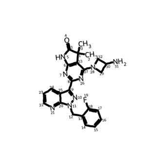 CC1(C)C(=O)Nc2nc(-c3nn(Cc4ccccc4F)c4ncccc34)nc(N3CC(N)C3)c21